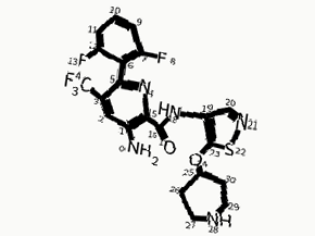 Nc1cc(C(F)(F)F)c(-c2c(F)cccc2F)nc1C(=O)Nc1cnsc1OC1CCNCC1